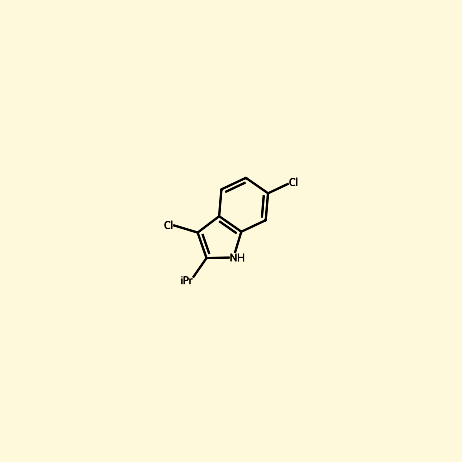 CC(C)c1[nH]c2cc(Cl)ccc2c1Cl